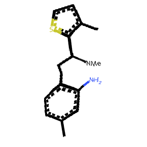 CNC(Cc1ccc(C)cc1N)c1sccc1C